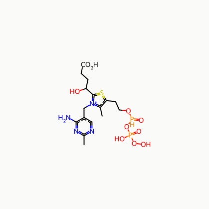 Cc1ncc(C[n+]2c(C(O)CCC(=O)O)sc(CCO[PH](=O)OP(=O)(O)OO)c2C)c(N)n1